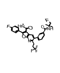 CNC(=O)c1c(-c2ccc(F)cc2)oc2nc(CCC(F)(F)F)c(-c3cccc(C(=O)NC(C)(C)CF)c3)cc12